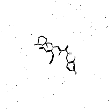 C=C=C/C(=C/C=C)N(/C=C(\C)C(=C)NCc1ccc(F)cc1F)CC1(C)CCCC(C)C1